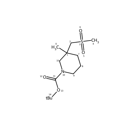 CC1(CS(C)(=O)=O)CCCN(C(=O)OC(C)(C)C)C1